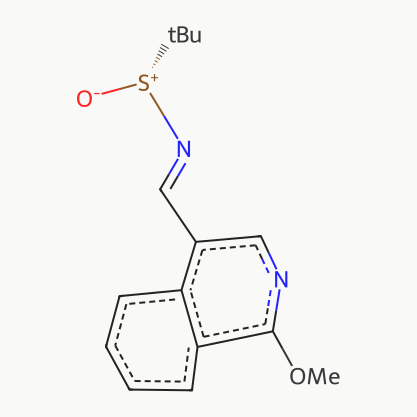 COc1ncc(C=N[S@+]([O-])C(C)(C)C)c2ccccc12